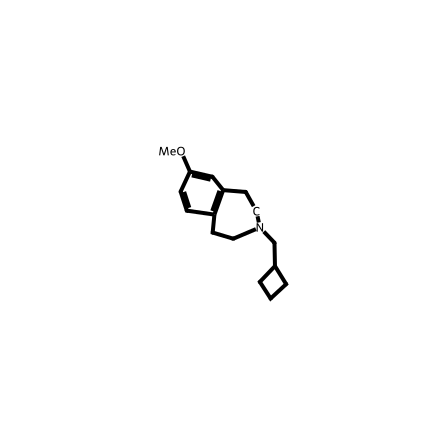 COc1ccc2c(c1)CCN(CC1CCC1)CC2